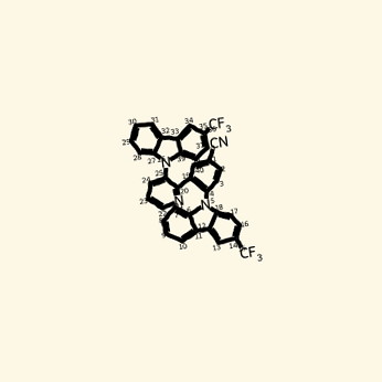 N#Cc1ccc(-n2c3ccccc3c3cc(C(F)(F)F)ccc32)c(-c2ncccc2-n2c3ccccc3c3cc(C(F)(F)F)ccc32)c1